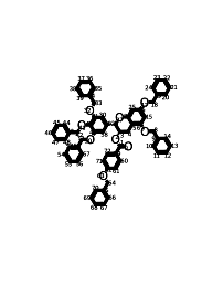 O=C(O[C@@H]1Cc2c(OCc3ccccc3)cc(OCc3ccccc3)cc2O[C@H]1c1cc(OCc2ccccc2)c(OCc2ccccc2)c(OCc2ccccc2)c1)c1ccc(OCc2ccccc2)cc1